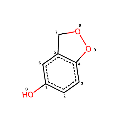 Oc1ccc2c(c1)COO2